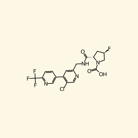 O=C(NCc1cc(-c2ccc(C(F)(F)F)nc2)c(Cl)cn1)[C@@H]1C[C@@H](F)CN1C(=O)O